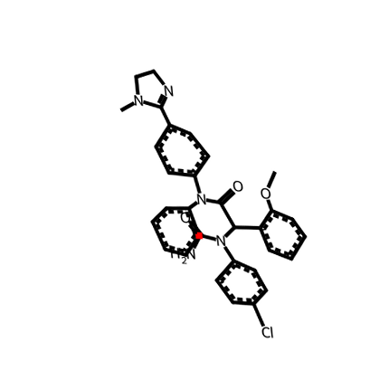 COc1ccccc1C(C(=O)N(c1ccccc1)c1ccc(C2=NCCN2C)cc1)N(C(N)=O)c1ccc(Cl)cc1